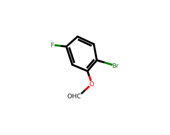 O=COc1cc(F)ccc1Br